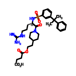 CC(C)(c1ccccc1)c1cccc(S(=O)(=O)N[C@@H](CCCNC(=N)N)C(=O)N2CCC(CCOC(=O)CCC(=O)O)CC2)c1